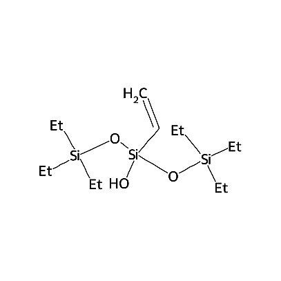 C=C[Si](O)(O[Si](CC)(CC)CC)O[Si](CC)(CC)CC